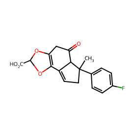 CC1(c2ccc(F)cc2)CC=C2C3=C(CC(=O)C21)OC(C(=O)O)O3